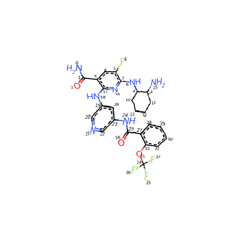 NC(=O)c1cc(F)c(N[C@@H]2CCCCC2N)nc1Nc1cncc(NC(=O)c2ccccc2OC(F)(F)F)c1